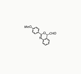 COc1ccc(C2=Nc3ccccc3C(C=O)O2)cc1